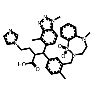 Cc1ccc(C(c2ccc3c(nnn3C)c2C)C(CCn2ccnc2)C(=O)O)cc1CN1CCN(C)c2ccccc2S1(=O)=O